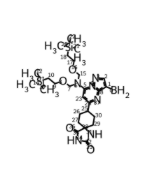 Bc1cnn2c(N(COCC[Si](C)(C)C)COCC[Si](C)(C)C)cc(C3CCC4(CC3)NC(=O)NC4=O)nc12